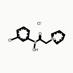 O=C(C[n+]1ccccc1)N(O)c1cccc(Cl)c1.[Cl-]